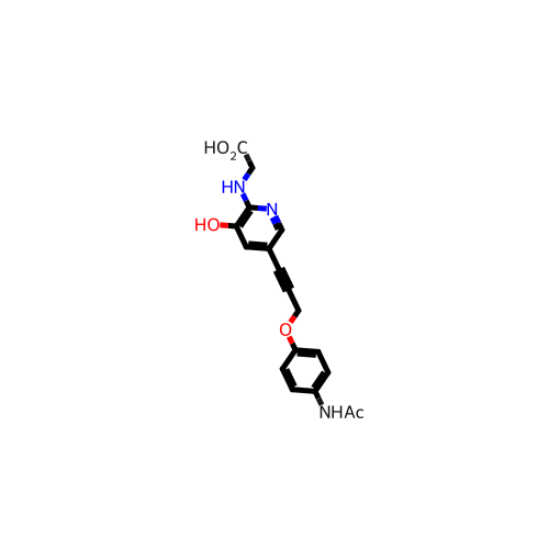 CC(=O)Nc1ccc(OCC#Cc2cnc(NCC(=O)O)c(O)c2)cc1